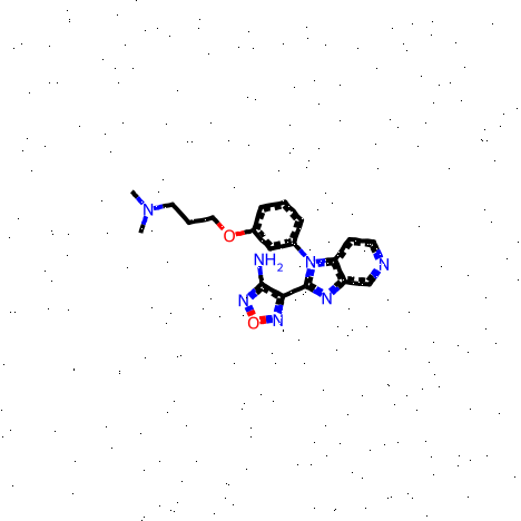 CN(C)CCCOc1cccc(-n2c(-c3nonc3N)nc3cnccc32)c1